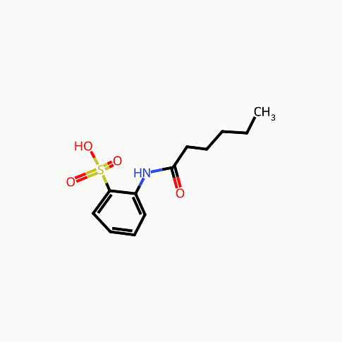 CCCCCC(=O)Nc1ccccc1S(=O)(=O)O